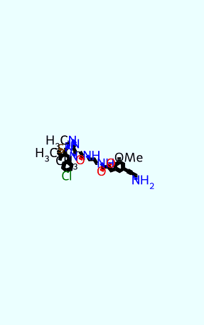 COc1cc(C#CCN)cc2cc(C(=O)NCCCNC(=O)C[C@@H]3N=C(c4ccc(Cl)cc4)c4c(sc(C)c4C)-n4c(C)nnc43)oc12